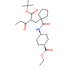 CCOC(=O)[C@H]1CC[C@@H](NC(=O)C2(CC(C(=O)CC)C(=O)OC(C)(C)C)CCCC2)CC1